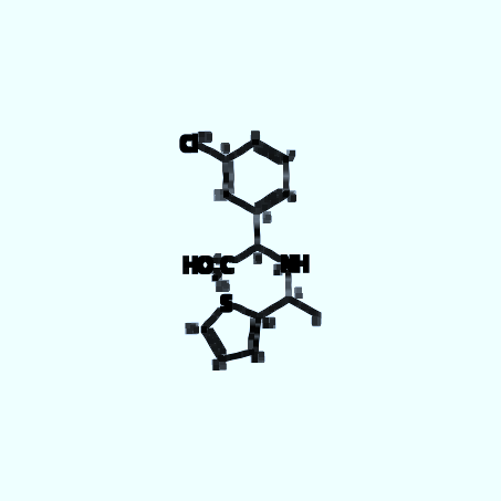 CC(NC(C(=O)O)c1cccc(Cl)c1)c1cccs1